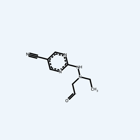 CCN(C[C]=O)Nc1ncc(C#N)cn1